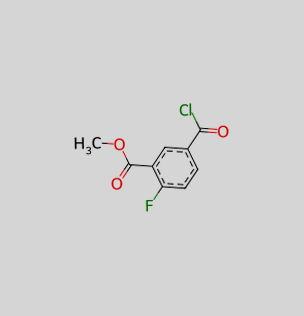 COC(=O)c1cc(C(=O)Cl)ccc1F